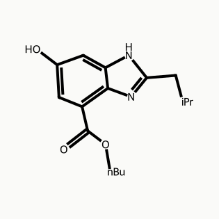 CCCCOC(=O)c1cc(O)cc2[nH]c(CC(C)C)nc12